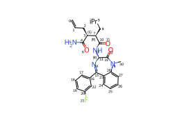 C=CC[C@H](C(N)=O)[C@@H](CC(C)C)C(=O)N[C@@H]1N=C(c2cccc(F)c2)c2ccccc2N(C)C1=O